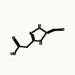 O=C=C1NN=C(CC(=O)O)N1